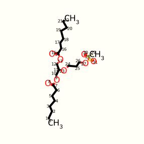 CCCCCCCC(=O)OCC(COC(=O)CCCCCCC)OCCCOS(C)(=O)=O